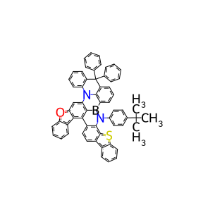 CC(C)(C)c1ccc(N2B3c4cccc5c4N(c4ccccc4C5(c4ccccc4)c4ccccc4)c4cc5oc6ccccc6c5c(c43)-c3ccc4c(sc5ccccc54)c32)cc1